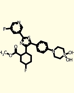 COC(=O)C1CC(F)CCC1c1nc(-c2cncc(F)c2)sc1-c1ccc(N2CCS(O)(O)CC2)cc1